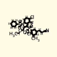 CCOC(=O)c1c(P(=O)(OC)c2cc(C)cc(/C=C/C#N)c2)c2c(F)c(Cl)ccc2n1S(=O)(=O)c1ccccc1